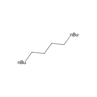 [CH2]CCCCCCC[CH]CCC